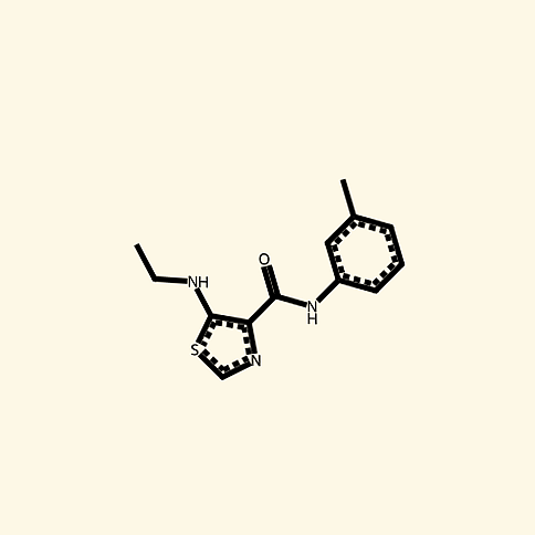 CCNc1scnc1C(=O)Nc1cccc(C)c1